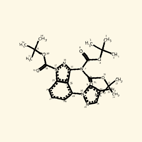 CC(C)(C)OC(=O)N(C(=O)OC(C)(C)C)c1nn(C(=O)OC(C)(C)C)c2cccc(-n3cc(N)cn3)c12